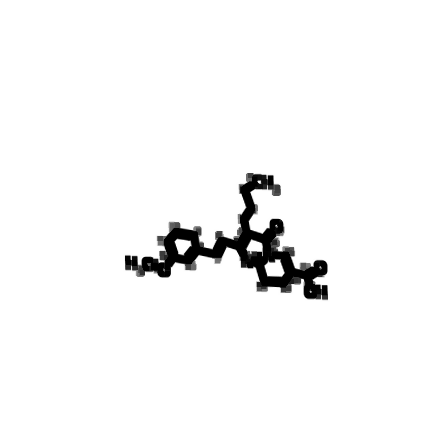 CCCCc1c(C=Cc2cccc(OC)c2)nc2ccc(C(=O)O)cn2c1=O